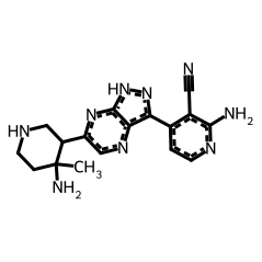 CC1(N)CCNCC1c1cnc2c(-c3ccnc(N)c3C#N)n[nH]c2n1